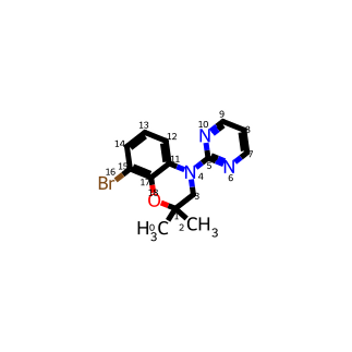 CC1(C)CN(c2ncccn2)c2cccc(Br)c2O1